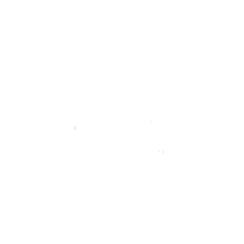 CCCCCCCCCCC[C](C(C)CCCCCC)C(C)CCCCCC